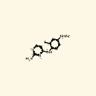 CC(=O)Nc1ccc(Nc2ccnc(N)n2)c(C)c1